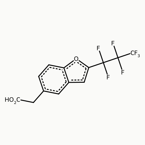 O=C(O)Cc1ccc2oc(C(F)(F)C(F)(F)C(F)(F)F)cc2c1